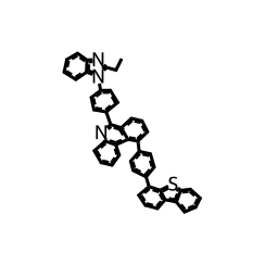 CCc1nc2ccccc2n1-c1ccc(-c2nc3ccccc3c3c(-c4ccc(-c5cccc6c5sc5ccccc56)cc4)cccc23)cc1